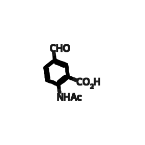 CC(=O)Nc1ccc(C=O)cc1C(=O)O